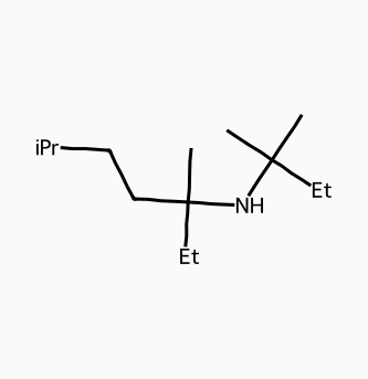 CCC(C)(C)NC(C)(CC)CCC(C)C